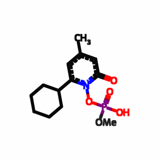 COP(=O)(O)On1c(C2CCCCC2)cc(C)cc1=O